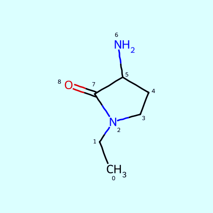 CCN1CCC(N)C1=O